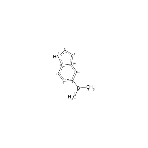 CB(C)c1ccc2[nH]ccc2c1